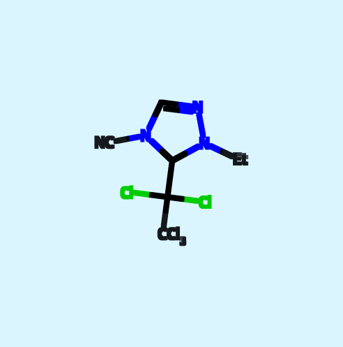 CCN1N=CN(C#N)C1C(Cl)(Cl)C(Cl)(Cl)Cl